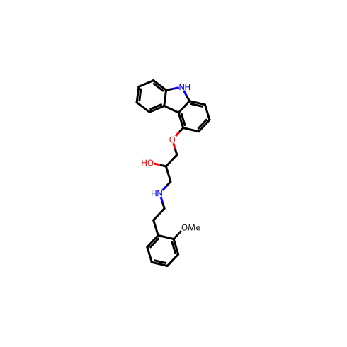 COc1ccccc1CCNCC(O)COc1cccc2[nH]c3ccccc3c12